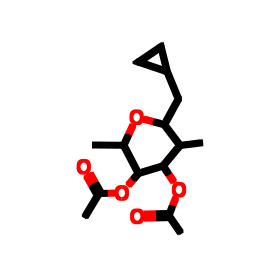 CC(=O)OC1C(C)OC(CC2CC2)C(C)C1OC(C)=O